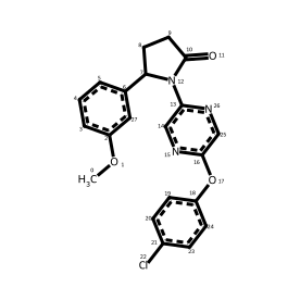 COc1cccc(C2CCC(=O)N2c2cnc(Oc3ccc(Cl)cc3)cn2)c1